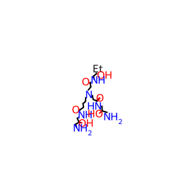 CCC(O)CNC(=O)CCN(CCCCC(=O)NCC(O)CN)CCC(=O)NCC(O)CN